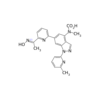 C/C(=N\O)c1cccc(-c2cc(N(C)C(=O)O)c3cnn(-c4cccc(C)n4)c3c2)n1